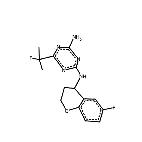 CC(C)(F)c1nc(N)nc(NC2CCOc3ccc(F)cc32)n1